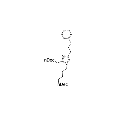 CCCCCCCCCCCCCCn1cc(CCCc2ccccc2)nc1CCCCCCCCCCC